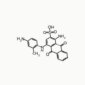 Cc1cc(N)ccc1Nc1cc(S(=O)(=O)O)c(N)c2c1C(=O)c1ccccc1C2=O